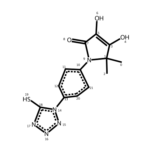 CC1(C)C(O)=C(O)C(=O)N1c1ccc(-n2nnnc2S)cc1